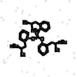 CCCCC(CC)Cc1ccccc1OP(Oc1ccccc1CC(CC)CCCC)Oc1ccccc1CC(CC)CCCC